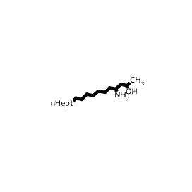 CCCCCCCCCCCCCCC(N)CC(C)O